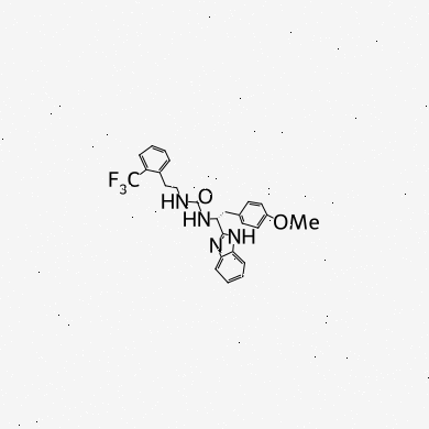 COc1ccc(C[C@@H](NC(=O)NCCc2ccccc2C(F)(F)F)c2nc3ccccc3[nH]2)cc1